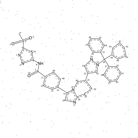 CS(=O)(=O)c1nnc(NC(=O)c2ccc(-c3cnc4ccc(-c5cnn(C(c6ccccc6)(c6ccccc6)c6ccccc6)c5)cn34)cc2)s1